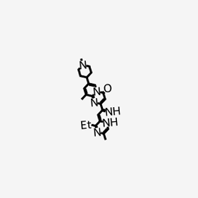 CCC1=NC(C)=CN/C1=C\C(=N)c1cc(=O)n2cc(C3CCN(C)CC3)cc(C)c2n1